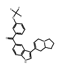 O=C(c1cccc(OC(F)(F)F)c1)c1ccc2[nH]cc(C3=CCN4CCCC4C3)c2c1